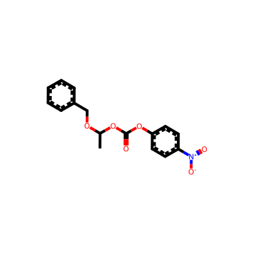 CC(OCc1ccccc1)OC(=O)Oc1ccc([N+](=O)[O-])cc1